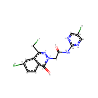 O=C(Cn1nc(CF)c2cc(Br)ccc2c1=O)Nc1ncc(F)cn1